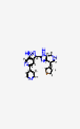 c1cc(-c2cc3c(-c4nc5c(-c6ccsc6)cncc5[nH]4)n[nH]c3cn2)ccn1